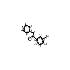 O=C(Cc1ccncc1)c1cccc(I)c1